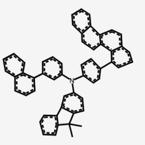 CC1(C)c2ccccc2-c2cc(N(c3ccc(-c4cccc5ccc6c7ccccc7ccc6c45)cc3)c3cccc(-c4cccc5ccccc45)c3)ccc21